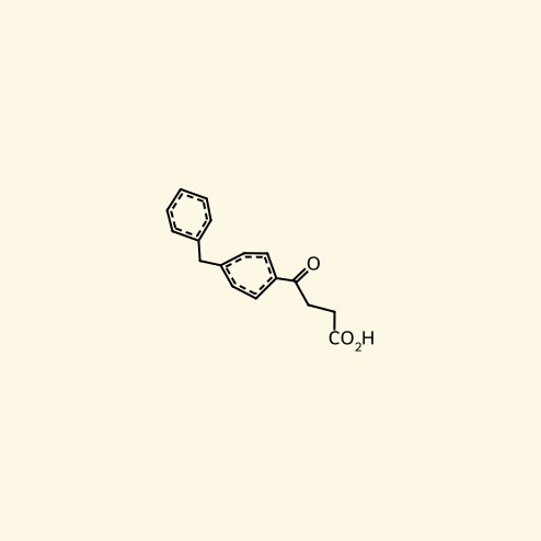 O=C(O)CCC(=O)c1ccc(Cc2ccccc2)cc1